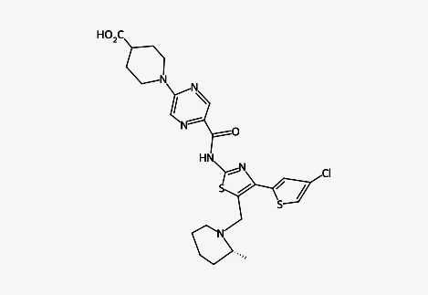 C[C@@H]1CCCCN1Cc1sc(NC(=O)c2cnc(N3CCC(C(=O)O)CC3)cn2)nc1-c1cc(Cl)cs1